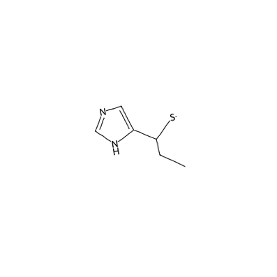 CCC([S])c1cnc[nH]1